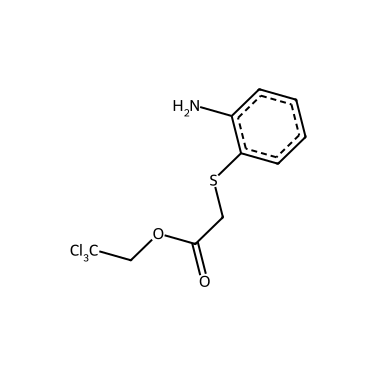 Nc1ccccc1SCC(=O)OCC(Cl)(Cl)Cl